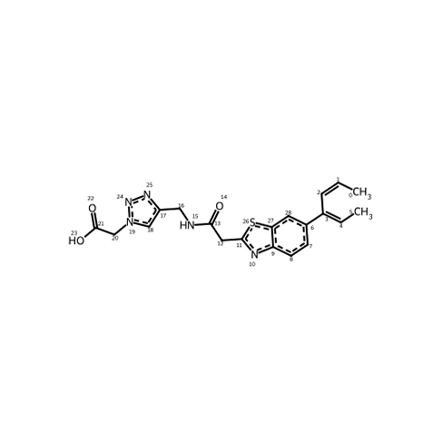 C/C=C\C(=C/C)c1ccc2nc(CC(=O)NCc3cn(CC(=O)O)nn3)sc2c1